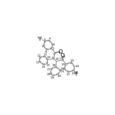 O=C(c1ccc(F)cc1)C(c1ccccc1)C(C(=O)c1ccc(F)cc1)c1ccccc1